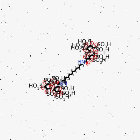 O=C(NCCCCCCCCCCCCNC(=O)[C@H](OS(=O)(=O)O)[C@@H](OS(=O)(=O)O)[C@H](O[C@H]1O[C@H](COS(=O)(=O)O)[C@@H](OS(=O)(=O)O)[C@H](OS(=O)(=O)O)[C@H]1OS(=O)(=O)O)[C@@H](COS(=O)(=O)O)OS(=O)(=O)O)[C@H](OS(=O)(=O)O)[C@@H](OS(=O)(=O)O)[C@H](O[C@H]1O[C@H](COS(=O)(=O)O)[C@@H](OS(=O)(=O)O)[C@H](OS(=O)(=O)O)[C@H]1OS(=O)(=O)O)[C@@H](COS(=O)(=O)O)OS(=O)(=O)O